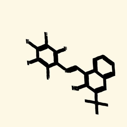 C[Si](C)(C)c1cc2ccccc2c(/C=N/c2c(F)c(F)c(F)c(F)c2F)c1O